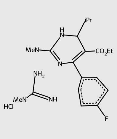 CCOC(=O)C1=C(c2ccc(F)cc2)N=C(NC)NC1C(C)C.CNC(=N)N.Cl